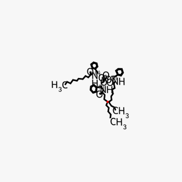 CCCCCCCCCC(=O)N[C@@H](COP(=O)(OC[C@H](NC(=O)CCCCCCCCC)c1ccccc1)OC[C@H](NC(=O)CCCCCCCCC)c1ccccc1)c1ccccc1